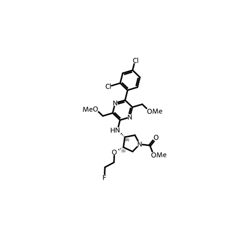 COCc1nc(-c2ccc(Cl)cc2Cl)c(COC)nc1N[C@@H]1CN(C(=O)OC)C[C@@H]1OCCF